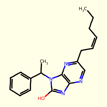 CCC/C=C\Cc1cnc2nc(O)n(C(C)c3ccccc3)c2n1